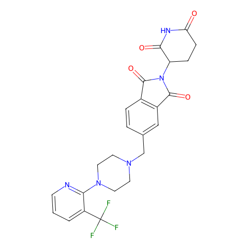 O=C1CCC(N2C(=O)c3ccc(CN4CCN(c5ncccc5C(F)(F)F)CC4)cc3C2=O)C(=O)N1